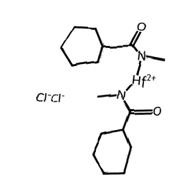 C[N]([Hf+2][N](C)C(=O)C1CCCCC1)C(=O)C1CCCCC1.[Cl-].[Cl-]